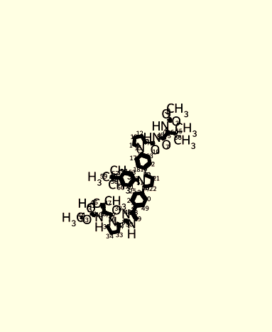 COC(=O)N[C@H](C(=O)NC(=O)[C@@H]1CCCN1c1ccc([C@@H]2CC[C@@H](c3ccc(-c4c[nH]c([C@@H]5CCCN5C(=O)[C@@H](NC(=O)OC)C(C)C)n4)cc3)N2c2ccc(C(C)(C)C)cc2)cc1)C(C)C